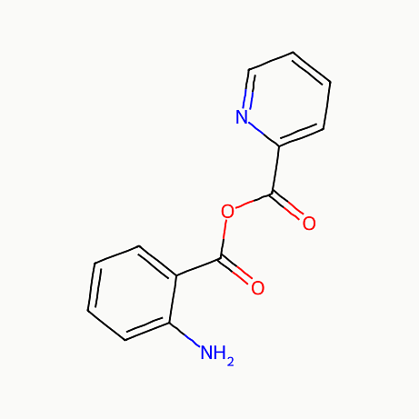 Nc1ccccc1C(=O)OC(=O)c1ccccn1